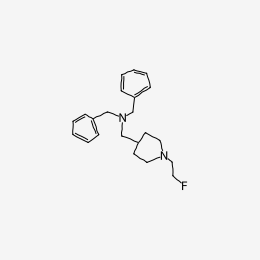 FCCN1CCC(CN(Cc2ccccc2)Cc2ccccc2)CC1